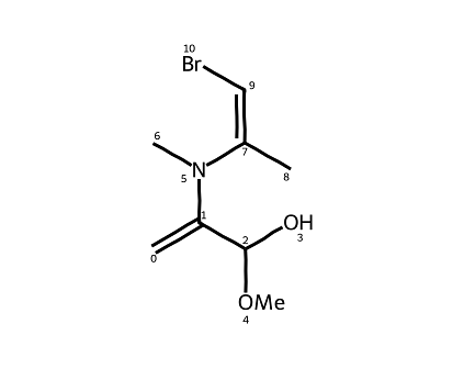 C=C(C(O)OC)N(C)/C(C)=C\Br